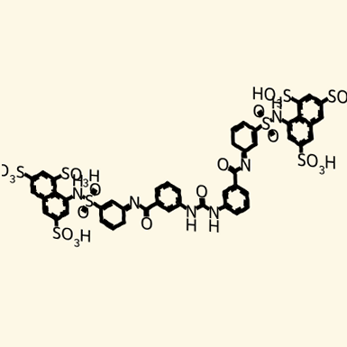 O=C(Nc1cccc(C(=O)N=C2C=C(S(=O)(=O)Nc3cc(S(=O)(=O)O)cc4cc(S(=O)(=O)O)cc(S(=O)(=O)O)c34)C=CC2)c1)Nc1cccc(C(=O)N=C2C=C(S(=O)(=O)Nc3cc(S(=O)(=O)O)cc4cc(S(=O)(=O)O)cc(S(=O)(=O)O)c34)C=CC2)c1